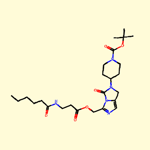 CCCCCC(=O)NCCC(=O)OCc1ncc2n1C(=O)N(C1CCN(C(=O)OC(C)(C)C)CC1)C2